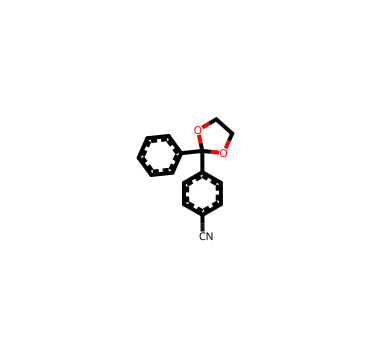 N#Cc1ccc(C2(c3ccccc3)OCCO2)cc1